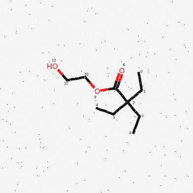 CCC(CC)(CC)C(=O)OCCO